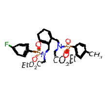 CCOC(=O)CN(CC1=CCCC=C1CN(CC(=O)OCC)S(=O)(=O)c1ccc(F)cc1)S(=O)(=O)c1ccc(C)cc1